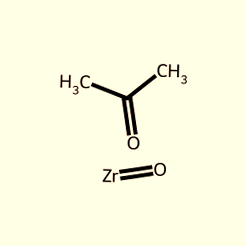 CC(C)=O.[O]=[Zr]